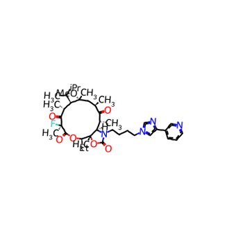 CC[C@H]1OC(=O)[C@@](C)(F)C(=O)[C@H](C)[C@@H](C(C)C(C)C)[C@](C)(OC)C[C@@H](C)C(=O)[C@H](C)[C@H]2N(CCCCn3cnc(-c4cccnc4)c3)C(=O)O[C@]12C